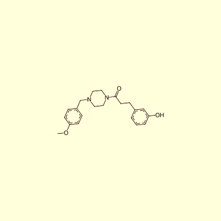 COc1ccc(CN2CCN(C(=O)CCc3cccc(O)c3)CC2)cc1